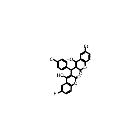 CCc1ccc2oc(=O)c(C(c3ccc(Cl)cc3)c3c(O)c4cc(CC)ccc4oc3=O)c(O)c2c1